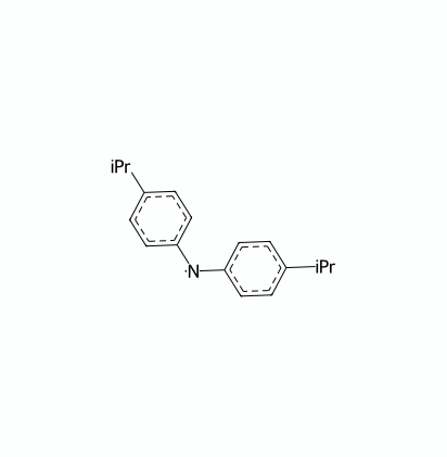 CC(C)c1ccc([N]c2ccc(C(C)C)cc2)cc1